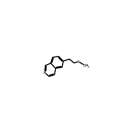 CSCCc1ccc2cnccc2c1